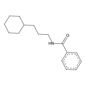 O=C(NCCCC1CCCCC1)c1ccccc1